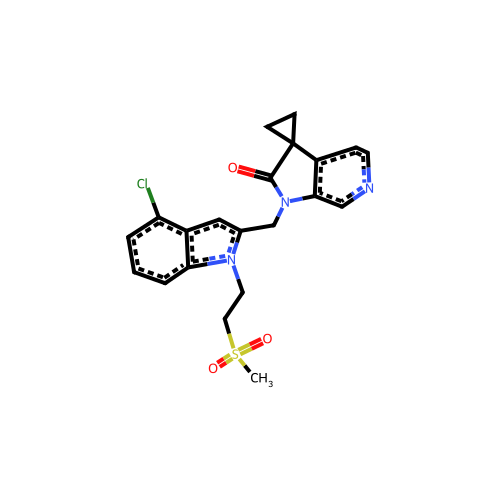 CS(=O)(=O)CCn1c(CN2C(=O)C3(CC3)c3ccncc32)cc2c(Cl)cccc21